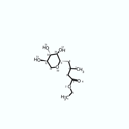 CCOC(=O)CC(C)C[C@@H]1OC[C@@H](O)[C@H](O)[C@H]1O